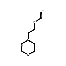 CC(C)CNCCN1CCOCC1